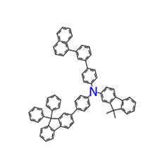 CC1(C)c2ccccc2-c2ccc(N(c3ccc(-c4cccc(-c5cccc6ccccc56)c4)cc3)c3ccc(-c4ccc5c(c4)C(c4ccccc4)(c4ccccc4)c4ccccc4-5)cc3)cc21